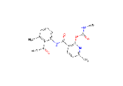 CCCNC(=O)Oc1nc(C)ccc1C(=O)Nc1cccc(C)c1C(=O)OC